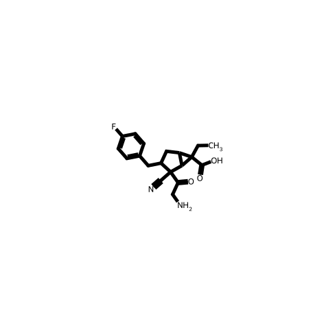 CCC1(C(=O)O)C2CC(Cc3ccc(F)cc3)C(C#N)(C(=O)CN)C21